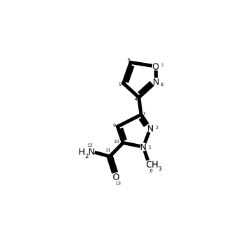 Cn1nc(-c2ccon2)cc1C(N)=O